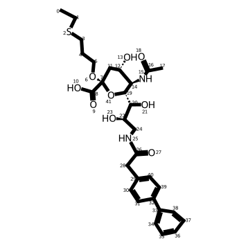 CCSCCCO[C@]1(C(=O)O)C[C@H](O)[C@@H](NC(C)=O)[C@H](C(O)[C@H](O)CNC(=O)Cc2ccc(-c3ccccc3)cc2)O1